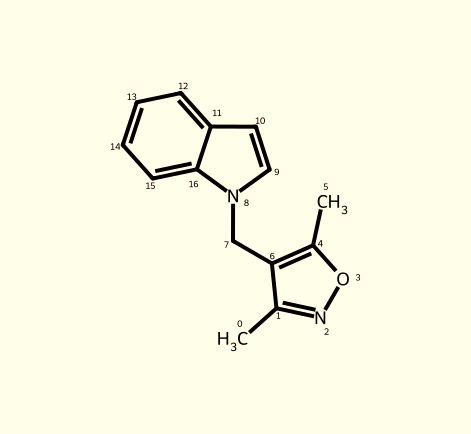 Cc1noc(C)c1Cn1ccc2ccccc21